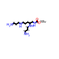 CC(C)(C)OC(=O)NCC(CCCNCCCN)NCCCN